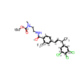 CN(CCNC(=O)c1ccc(/C=C/C(c2cc(Cl)c(Cl)c(Cl)c2)C(F)(F)F)cc1C(F)(F)F)C(=O)OC(C)(C)C